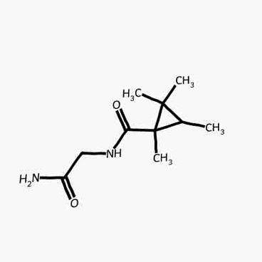 CC1C(C)(C)C1(C)C(=O)NCC(N)=O